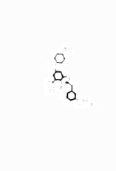 Cc1cccc(Cc2nc3cc(O[C@H]4CC[C@@H](C(C)=O)CC4)cc(Cl)c3n2C)c1